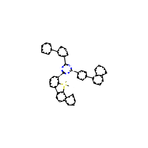 CS1(C)c2c(-c3nc(-c4ccc(-c5cccc6ccccc56)cc4)nc(-c4cccc(-c5ccccc5)c4)n3)cccc2-c2ccc3ccccc3c21